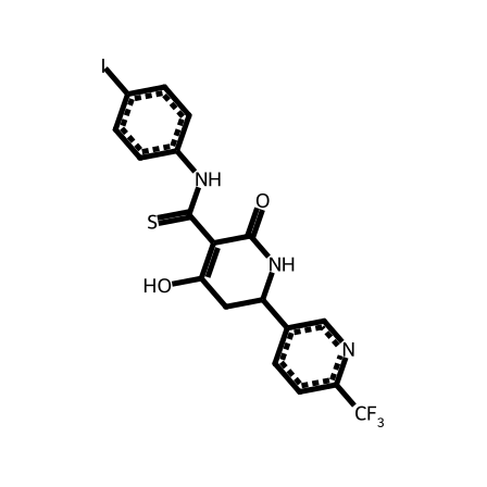 O=C1NC(c2ccc(C(F)(F)F)nc2)CC(O)=C1C(=S)Nc1ccc(I)cc1